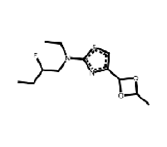 CCC(F)CN(CC)c1nc(C2OC(C)O2)cs1